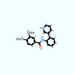 COc1ccc(C(=O)Nc2ccccc2-c2cccnc2)cc1OC